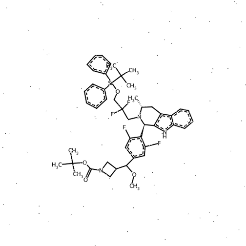 COC(c1cc(F)c([C@@H]2c3[nH]c4ccccc4c3C[C@@H](C)N2CC(F)(F)CO[Si](c2ccccc2)(c2ccccc2)C(C)(C)C)c(F)c1)C1CN(C(=O)OC(C)(C)C)C1